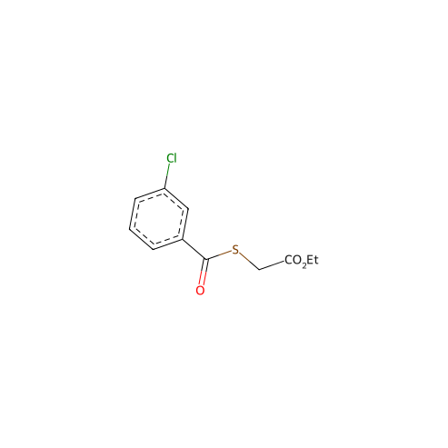 CCOC(=O)CSC(=O)c1cccc(Cl)c1